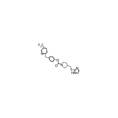 O=C(Oc1ccc(Cc2ccc(C(F)(F)F)cn2)cc1)N1CCC(CSc2ncc[nH]2)CC1